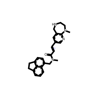 CN(Cc1ccc2c3c(cccc13)CC2)C(=O)/C=C/c1cnc2c(c1)CNCCN2C